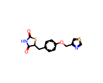 O=C1NC(=O)C(Cc2ccc(OCc3cscn3)cc2)S1